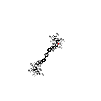 CN(C)C(=O)OC(C)(C(=O)N[C@H](c1nc2ccc(-c3cnc(-c4ccc5nc([C@@H](NC(=O)C(C)(OC(=O)N(C)C)C(C)(C)C)C(C)(C)C)[nH]c5c4)cn3)cc2[nH]1)C(C)(C)C)C(C)(C)C